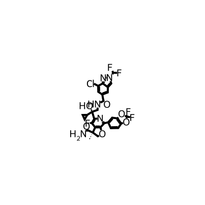 C[C@@]1(C(N)=O)COc2c(-c3ccc4c(c3)OC(F)(F)O4)nc([C@@](O)(CNC(=O)c3cc(Cl)c4nn(C(F)F)cc4c3)C3CC3)c(F)c21